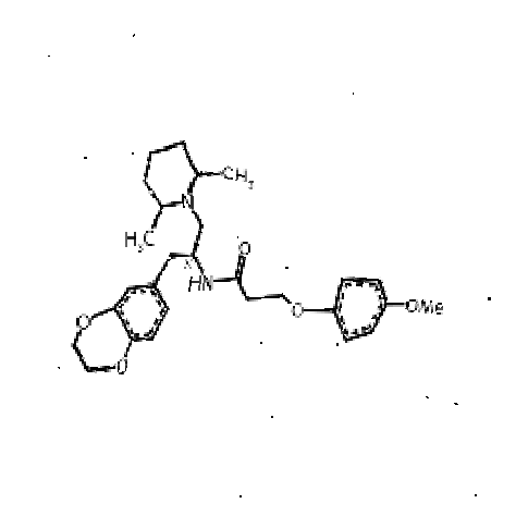 COc1ccc(OCCC(=O)N[C@@H](Cc2ccc3c(c2)OCCO3)CN2C(C)CCCC2C)cc1